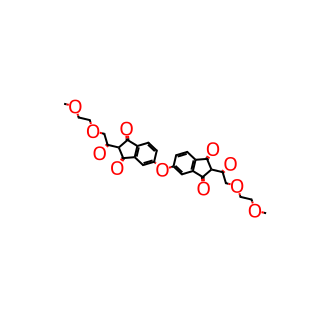 COCCOCC(=O)C1C(=O)c2ccc(Oc3ccc4c(c3)C(=O)C(C(=O)COCCOC)C4=O)cc2C1=O